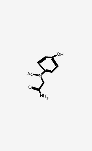 CC(=O)N(CC(N)=O)c1ccc(O)cc1